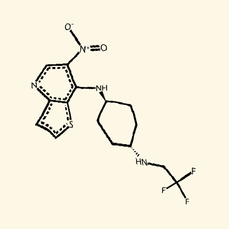 O=[N+]([O-])c1cnc2ccsc2c1N[C@H]1CC[C@H](NCC(F)(F)F)CC1